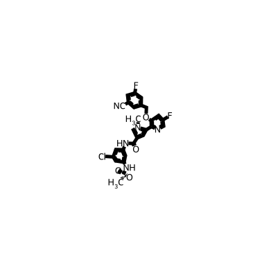 Cn1cc(C(=O)Nc2cc(Cl)cc(NS(C)(=O)=O)c2)cc1-c1ncc(F)cc1OCc1cc(F)cc(C#N)c1